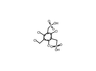 O=S(=O)(O)Cc1c(Cl)c(CCl)c(Cl)c(CS(=O)(=O)O)c1Cl